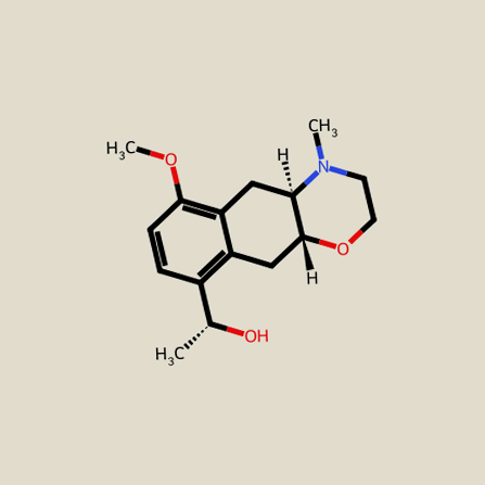 COc1ccc([C@@H](C)O)c2c1C[C@@H]1[C@@H](C2)OCCN1C